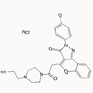 Cl.O=C(Cc1oc2ccccc2c2nn(-c3ccc(Cl)cc3)c(=O)c1-2)N1CCN(CCO)CC1